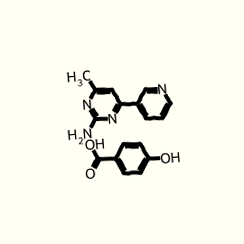 Cc1cc(-c2cccnc2)nc(N)n1.O=C(O)c1ccc(O)cc1